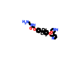 CC(C)(c1ccc(OCC(=O)NCCN)cc1)c1ccc(OCc2ncccc2C2CNCCO2)cc1